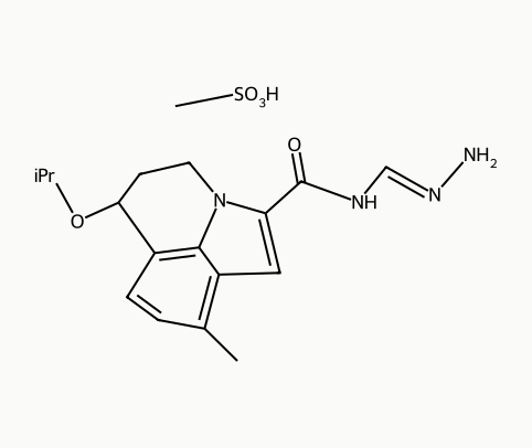 CS(=O)(=O)O.Cc1ccc2c3c1cc(C(=O)NC=NN)n3CCC2OC(C)C